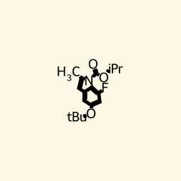 Cc1cc2cc(OC(C)(C)C)cc(F)c2n1C(=O)OC(C)C